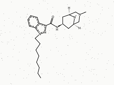 CCCCCCCCn1nc(C(=O)N[C@@H]2C[C@@H]3CN(C)C[C@H](C2)N3C)c2ccccc21